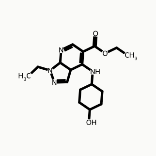 CCOC(=O)C1=C(NC2CCC(O)CC2)C2C=NN(CC)C2N=C1